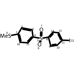 CSc1ccc(S(=O)(=O)c2ccc(I)cc2)cc1